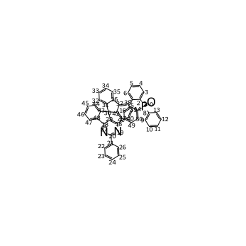 O=P(c1ccccc1)(c1ccccc1)c1ccc(-c2nc(-c3ccccc3)nc3c2C2(c4ccccc4-c4ccccc42)c2ccccc2-3)cc1